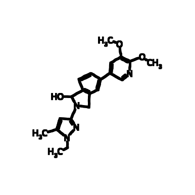 CCn1nc(N2Cc3cc(-c4cnc(OC)c(OC)c4)ccc3C2O)cc1C